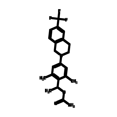 Cc1cc(N2CCc3cc(C(F)(F)F)ccc3C2)cc(C)c1C(C)OC(N)=O